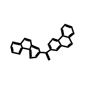 C=C(c1ccc2c(ccc3ccccc32)c1)c1ccc2c(ccc3ccccc32)c1